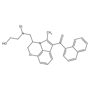 CCN(CCO)CC1COc2cccc3c(C(=O)c4cccc5ccccc45)c(C)n1c23